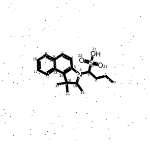 CCCC(N1c2ccc3ccccc3c2C(C)(C)C1C)S(=O)(=O)O